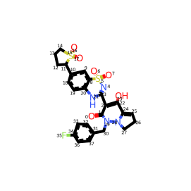 O=C1C(C2=NS(=O)(=O)c3cc(C4CCCS4(=O)=O)ccc3N2)=C(O)C2=CCCN2N1Cc1ccc(F)cc1